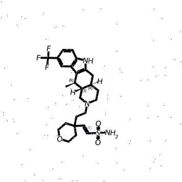 C[C@H]1c2c([nH]c3ccc(C(F)(F)F)cc23)C[C@H]2CCN(CCC3(/C=C/S(N)(=O)=O)CCOCC3)C[C@@H]21